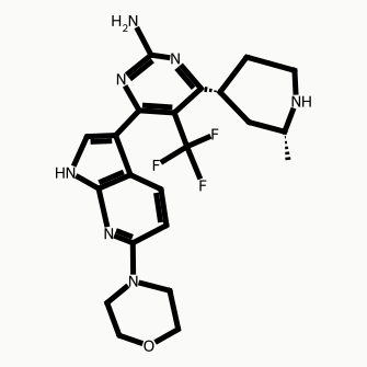 C[C@@H]1C[C@H](c2nc(N)nc(-c3c[nH]c4nc(N5CCOCC5)ccc34)c2C(F)(F)F)CCN1